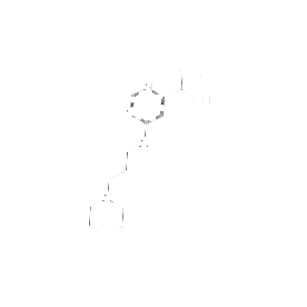 CC(C)c1cc(NCCCN2CCOCC2)ncn1